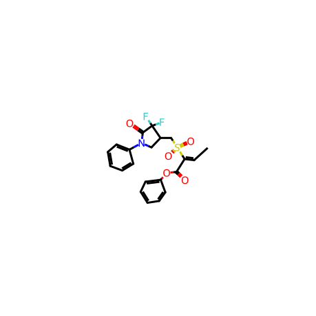 CC=C(C(=O)Oc1ccccc1)S(=O)(=O)CC1CN(c2ccccc2)C(=O)C1(F)F